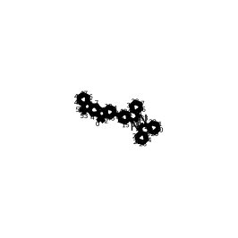 CC1(C)C2=CC3C(C=C2c2ccc(-c4ccc(-c5nc(-c6ccccc6)c(-c6ccccc6)nc5-c5ccccc5)cc4)cc21)c1ccccc1C3(C)C